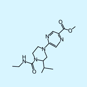 CCNC(=O)N1CCN(c2cnc(C(=O)OC)cn2)CC1C(C)C